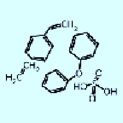 C=C.C=Cc1ccccc1.O=S(=O)(O)O.c1ccc(Oc2ccccc2)cc1